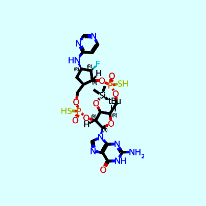 CC(C)(C)[Si](C)(C)OC1[C@H]2OP(=O)(S)OCC3C[C@@H](Nc4ccncn4)[C@@H](F)[C@@H]3OP(=O)(S)OC[C@H]1O[C@H]2n1cnc2c(=O)[nH]c(N)nc21